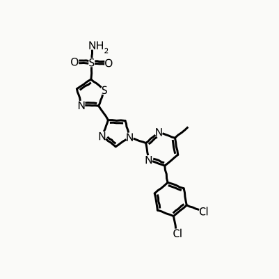 Cc1cc(-c2ccc(Cl)c(Cl)c2)nc(-n2cnc(-c3ncc(S(N)(=O)=O)s3)c2)n1